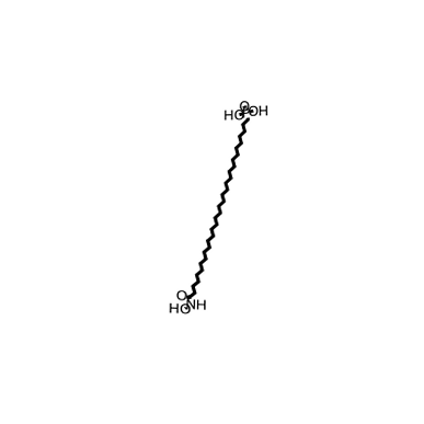 O=C(CCCCCCCCCCCCCCCCCCCCCCCCCCCCCCCP(=O)(O)O)NO